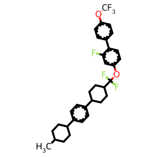 CC1CCC(c2ccc(C3CCC(C(F)(F)Oc4ccc(-c5ccc(OC(F)(F)F)cc5)c(F)c4)CC3)cc2)CC1